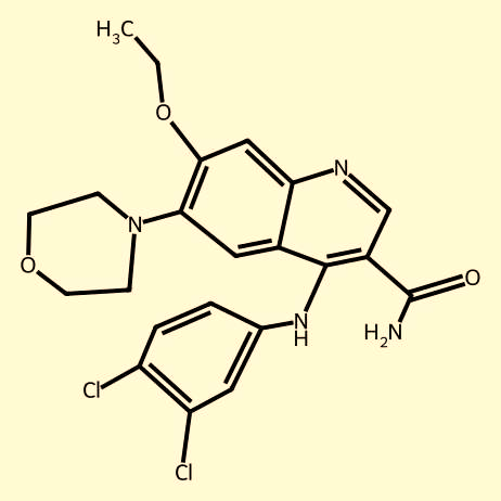 CCOc1cc2ncc(C(N)=O)c(Nc3ccc(Cl)c(Cl)c3)c2cc1N1CCOCC1